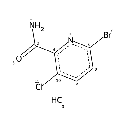 Cl.NC(=O)c1nc(Br)ccc1Cl